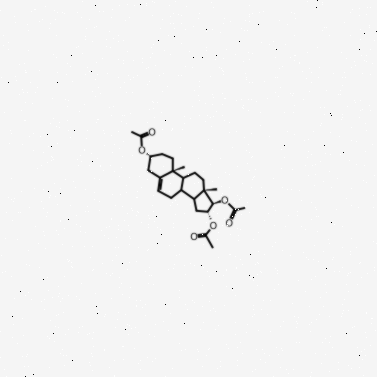 CC(=O)O[C@@H]1CC[C@@]2(C)C(=CCC3C2CC[C@@]2(C)C3C[C@@H](OC(C)=O)[C@@H]2OC(C)=O)C1